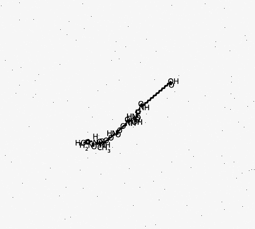 C[C@H](NC(=O)COCCOCCNC(=O)COCCOCCNC(=O)CC[C@H](NC(=O)[C@H]1CC[C@H](CNC(=O)CCCCCCCCCCCCCCCCCCC(=O)O)CC1)C(=O)O)C(=O)CN[C@@H](Cc1ccc(O)cc1)C(N)=O